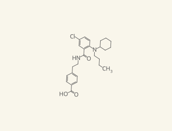 CCCCN(c1ccc(Cl)cc1C(=O)NCCc1ccc(C(=O)O)cc1)C1CCCCC1